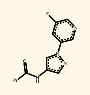 CC(C)C(=O)Nc1cnn(-c2cncc(F)c2)c1